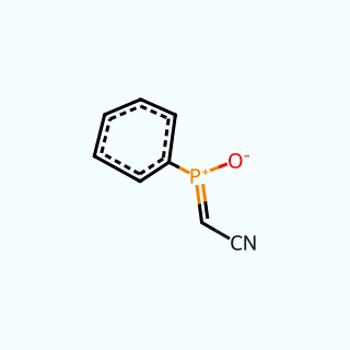 N#C/C=[P+](\[O-])c1ccccc1